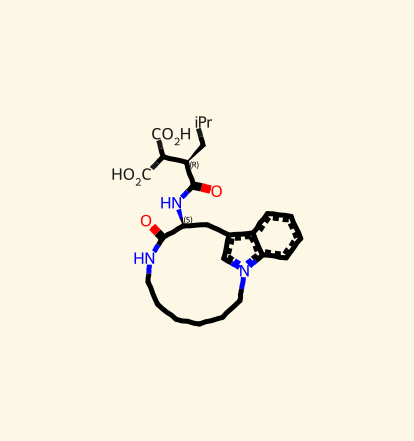 CC(C)C[C@@H](C(=O)N[C@H]1Cc2cn(c3ccccc23)CCCCCCNC1=O)C(C(=O)O)C(=O)O